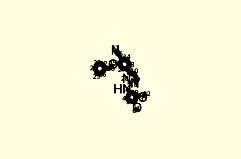 COc1ccc(Nc2nccc(-c3ccc(C#N)c(OCc4ccccc4)c3)n2)cc1OC